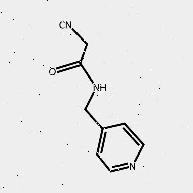 [C-]#[N+]CC(=O)NCc1ccncc1